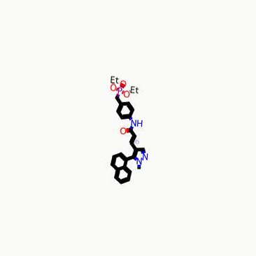 CCOP(=O)(Cc1ccc(NC(=O)/C=C/c2cnn(C)c2-c2cccc3ccccc23)cc1)OCC